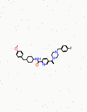 C=C(c1ccc(C(=O)NC2CCC(Cc3ccc(OC)cc3)CC2)nc1)N1CCN(Cc2ccc(F)cc2)CC1